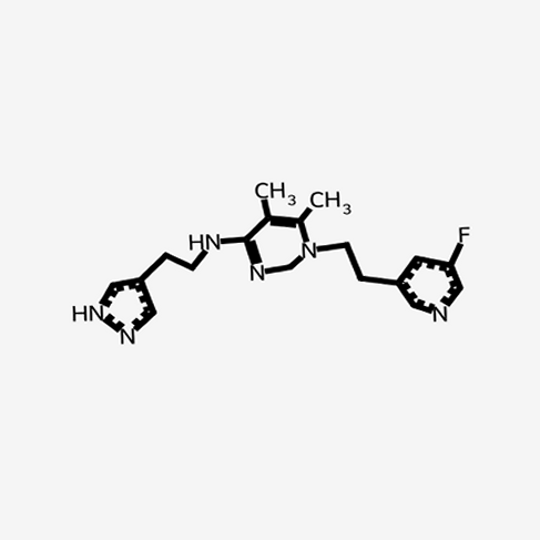 CC1=C(C)N(CCc2cncc(F)c2)CN=C1NCCc1cn[nH]c1